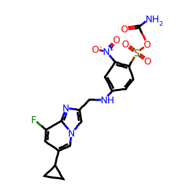 NC(=O)OS(=O)(=O)c1ccc(NCc2cn3cc(C4CC4)cc(F)c3n2)cc1[N+](=O)[O-]